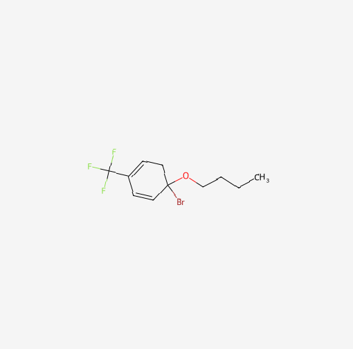 CCCCOC1(Br)C=CC(C(F)(F)F)=CC1